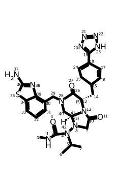 CNC(=O)N(C(C)C)N1CC(=O)N2[C@@H](CC3C=CC(c4nnn[nH]4)=CC3)C(=O)N(Cc3cccc4sc(N)nc34)C[C@@H]21